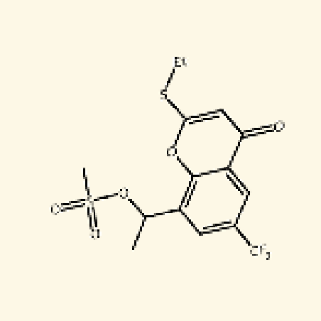 CCSc1cc(=O)c2cc(C(F)(F)F)cc(C(C)OS(C)(=O)=O)c2o1